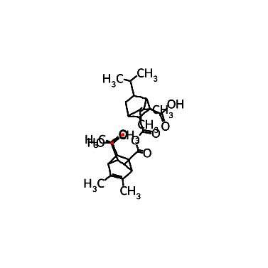 CC1=C(C)C2C(C(C)C)CC1C(C(=O)OC(=O)C1C3CC(C(C)C)C(C(C)=C3C)C1C(=O)O)C2C(=O)O